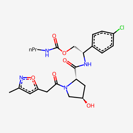 CCCNC(=O)OC[C@@H](NC(=O)[C@@H]1C[C@@H](O)CN1C(=O)Cc1cc(C)no1)c1ccc(Cl)cc1